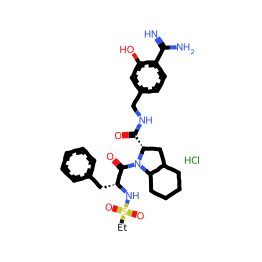 CCS(=O)(=O)N[C@H](Cc1ccccc1)C(=O)N1C2CCCCC2C[C@H]1C(=O)NCc1ccc(C(=N)N)c(O)c1.Cl